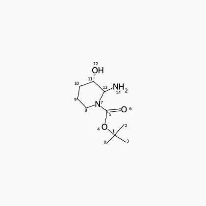 CC(C)(C)OC(=O)N1CCC[C@H](O)C1N